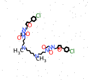 CN(CCCCCCN(C)CCCCN1C(=O)CN(N=Cc2ccc(-c3ccc(Cl)cc3)o2)C1=O)CCCCN1C(=O)CN(N=Cc2ccc(-c3ccc(Cl)cc3)o2)C1=O